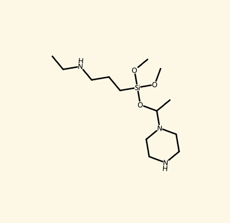 CCNCCC[Si](OC)(OC)OC(C)N1CCNCC1